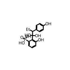 CCC(c1ccc(O)cc1)C(O)(O)c1c(O)cccc1P(=O)(O)O